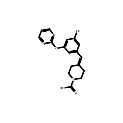 Cc1cc(C=C2CCN(C(=O)O)CC2)cc(Oc2ncccn2)c1